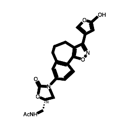 CC(=O)NC[C@H]1CN(c2ccc3c(c2)CCCc2c(-c4coc(O)c4)noc2-3)C(=O)O1